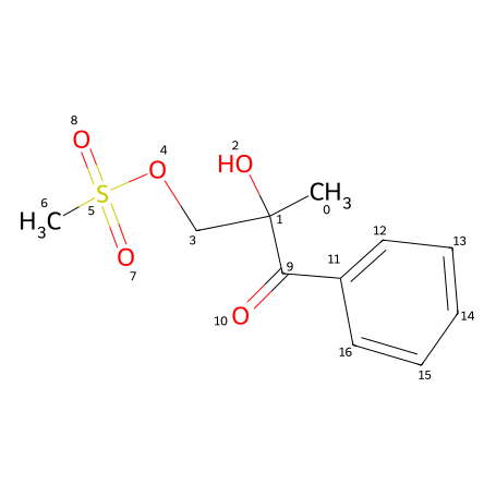 CC(O)(COS(C)(=O)=O)C(=O)c1ccccc1